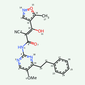 COc1cnc(NC(=O)/C(C#N)=C(\O)c2cnoc2C)nc1CCc1ccccc1